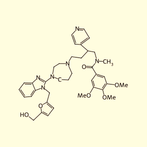 COc1cc(C(=O)N(C)CC(CCN2CCCN(c3nc4ccccc4n3Cc3ccc(CO)o3)CC2)c2ccncc2)cc(OC)c1OC